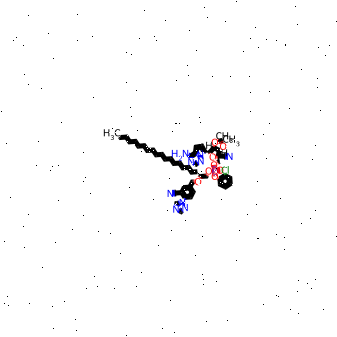 CCCCCCCCCCCCCCCCCCC[C@H](COP(=O)(OC[C@@]1(C#N)O[C@@H](c2ccc3c(N)ncnn23)[C@@H]2OC(C)(C)O[C@@H]21)Oc1ccccc1Cl)OCc1ccc(-n2cncn2)c(C#N)c1